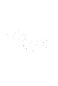 Cn1nc(Nc2cccc(-c3ccc4c(c3)OCCO4)c2Cl)c2cc(C=O)ccc21